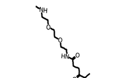 CNCCOCCOCCNC(=O)CCC(=O)C(C)C